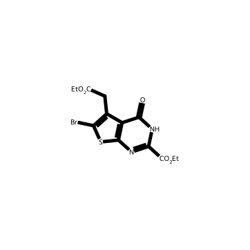 CCOC(=O)Cc1c(Br)sc2nc(C(=O)OCC)[nH]c(=O)c12